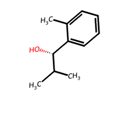 Cc1ccccc1[C@@H](O)C(C)C